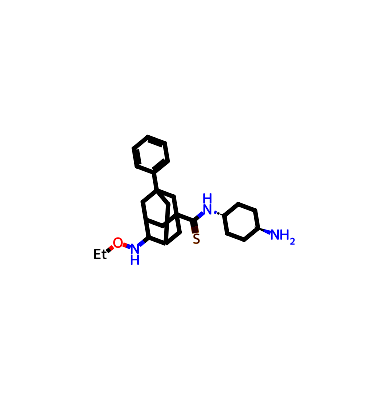 CCONC1C2CC3(C(=S)N[C@H]4CC[C@H](N)CC4)CC1CC(c1ccccc1)(C2)C3